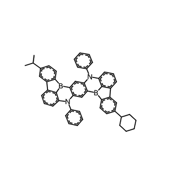 CC(C)c1ccc2c(c1)-c1cccc3c1B2c1cc2c(cc1N3c1ccccc1)B1c3ccc(C4CCCCC4)cc3-c3cccc(c31)N2c1ccccc1